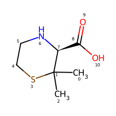 CC1(C)SCCN[C@H]1C(=O)O